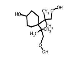 CC(C)(COO)C1(C(C)(C)COO)CCC(O)CC1